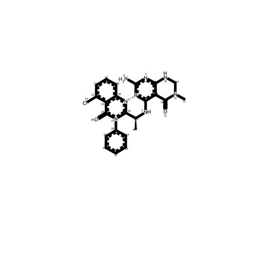 C[C@H](Nc1nc(N)nc2c1C(=O)N(C)CN2)c1nc2cccc(Cl)c2c(=O)n1-c1ccccc1